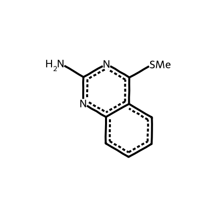 CSc1nc(N)nc2ccccc12